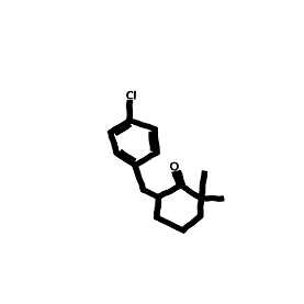 CC1(C)CCCC(Cc2ccc(Cl)cc2)C1=O